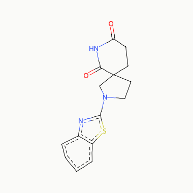 O=C1CCC2(CCN(c3nc4ccccc4s3)C2)C(=O)N1